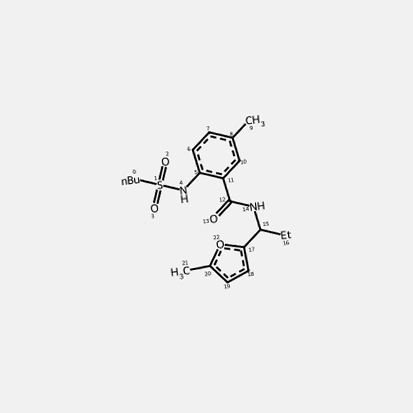 CCCCS(=O)(=O)Nc1ccc(C)cc1C(=O)NC(CC)c1ccc(C)o1